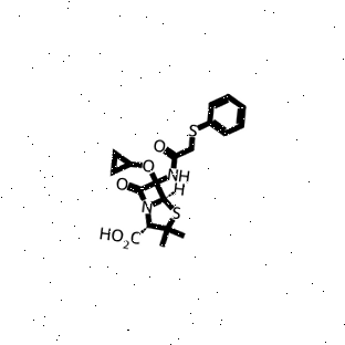 CC1(C)S[C@H]2N(C(=O)C2(NC(=O)CSc2ccccc2)OC2CC2)[C@H]1C(=O)O